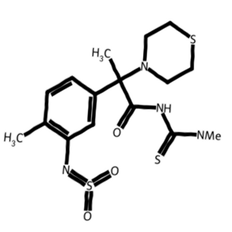 CNC(=S)NC(=O)C(C)(c1ccc(C)c(N=S(=O)=O)c1)N1CCSCC1